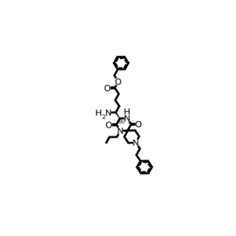 CCCN1C(=O)[C@@H](C(N)CCCC(=O)OCc2ccccc2)NC(=O)C12CCN(CCc1ccccc1)CC2